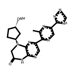 CO[C@H]1CC[C@H](N2CC(=O)Nc3ncc(-c4ncc(-c5nnc[nH]5)nc4C)nc32)C1